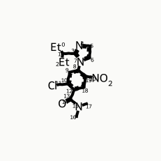 CCC(CC)c1nccn1-c1cc(Cl)c(C(=O)N(C)C)cc1[N+](=O)[O-]